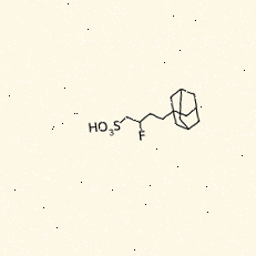 O=S(=O)(O)CC(F)CCC12CC3CC(CC(C3)C1)C2